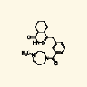 CN1CCCN(C(=O)c2cccc(Cc3n[nH]c(=O)c4c3CCCC4)c2)CC1